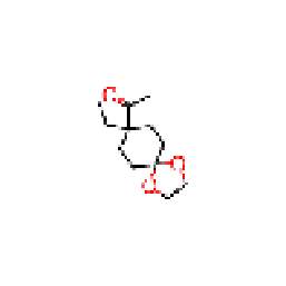 CCC1(C(C)=O)CCC2(CC1)OCCO2